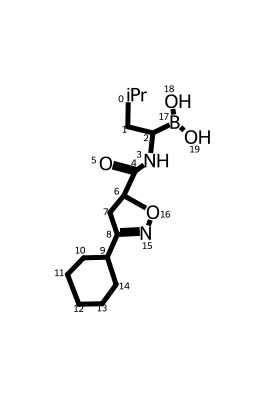 CC(C)CC(NC(=O)C1CC(C2CCCCC2)=NO1)B(O)O